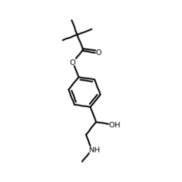 CNCC(O)c1ccc(OC(=O)C(C)(C)C)cc1